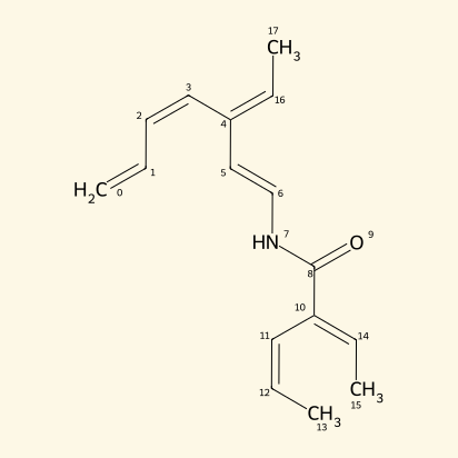 C=C\C=C/C(/C=C/NC(=O)C(/C=C\C)=C/C)=C\C